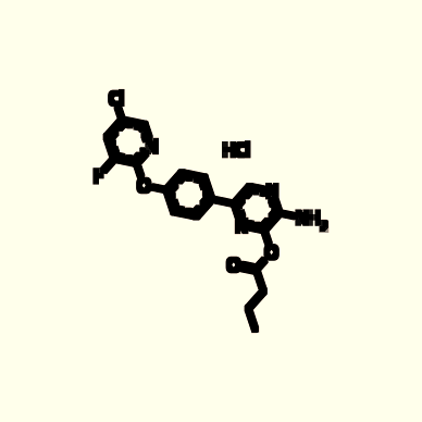 CCCC(=O)Oc1nc(-c2ccc(Oc3ncc(Cl)cc3F)cc2)cnc1N.Cl